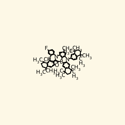 Cc1cc2c3c(c1)N(c1ccc(F)cc1F)c1c(oc4cc5c(cc14)C(C)(C)CCC5(C)C)B3c1cc3c(cc1N2c1ccc2c(c1)C(C)(C)CCC2(C)C)C(C)(C)CCC3(C)C